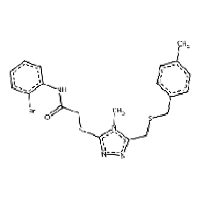 Cc1ccc(CSCc2nnc(SCC(=O)Nc3ccccc3Br)n2C)cc1